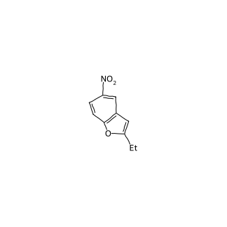 [CH2]Cc1cc2cc([N+](=O)[O-])ccc2o1